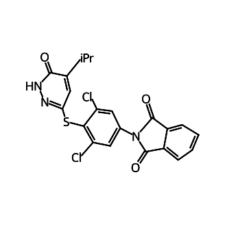 CC(C)c1cc(Sc2c(Cl)cc(N3C(=O)c4ccccc4C3=O)cc2Cl)n[nH]c1=O